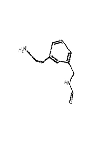 NCc1cccc(CNC=O)c1